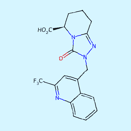 O=C(O)[C@H]1CCCc2nn(Cc3cc(C(F)(F)F)nc4ccccc34)c(=O)n21